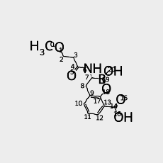 COCCC(=O)N[C@H]1Cc2cccc(C(=O)O)c2OB1O